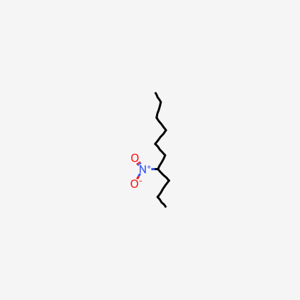 CCCCCCC(CCC)[N+](=O)[O-]